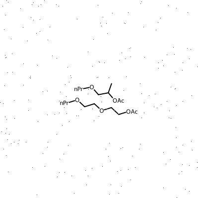 CCCOCC(C)OC(C)=O.CCCOCCOCCOC(C)=O